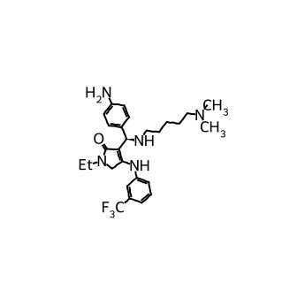 CCN1CC(Nc2cccc(C(F)(F)F)c2)=C([C@H](NCCCCCN(C)C)c2ccc(N)cc2)C1=O